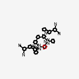 N#Cc1cc(C#N)cc(-c2ccc3c(c2)c2ccccc2n3-c2cc(-c3cccc(-c4ccc(-n5c6ccccc6c6cc(-c7cc(C#N)cc(C#N)c7)ccc65)c(-c5nc(-c6ccccc6)nc(-c6ccccc6)n5)c4)c3)cc(-c3nc(-c4ccccc4)nc(-c4ccccc4)n3)c2)c1